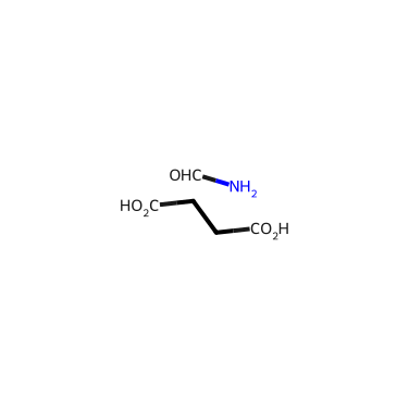 NC=O.O=C(O)CCC(=O)O